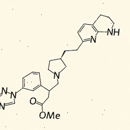 COC(=O)CC(CN1CC[C@@H](CCc2ccc3c(n2)NCCC3)C1)c1cccc(-n2cncn2)c1